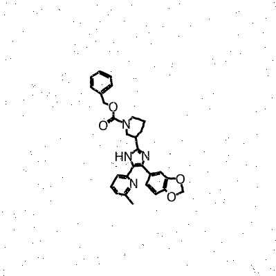 Cc1cccc(-c2[nH]c(C3CCCN(C(=O)OCc4ccccc4)C3)nc2-c2ccc3c(c2)OCO3)n1